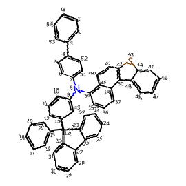 c1ccc(-c2ccc(N(c3cccc(C4(c5ccccc5)c5ccccc5-c5ccccc54)c3)c3cccc4c3ccc3sc5ccccc5c34)cc2)cc1